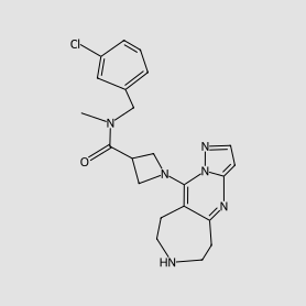 CN(Cc1cccc(Cl)c1)C(=O)C1CN(c2c3c(nc4ccnn24)CCNCC3)C1